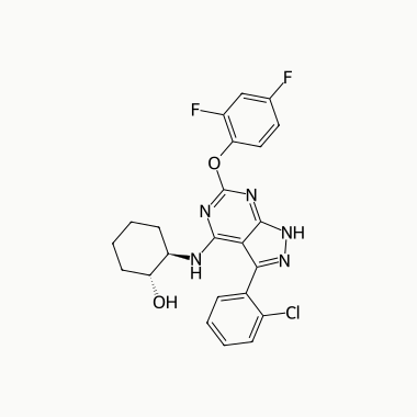 O[C@@H]1CCCC[C@H]1Nc1nc(Oc2ccc(F)cc2F)nc2[nH]nc(-c3ccccc3Cl)c12